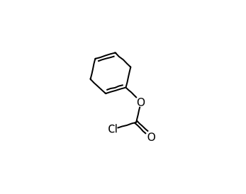 O=C(Cl)OC1=CCC=CC1